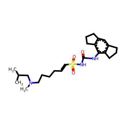 CC(C)CN(C)CCCC/C=C/S(=O)(=O)NC(=O)Nc1c2c(cc3c1CCC3)CCC2